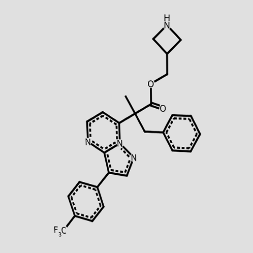 CC(Cc1ccccc1)(C(=O)OCC1CNC1)c1ccnc2c(-c3ccc(C(F)(F)F)cc3)cnn12